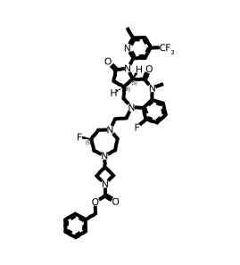 Cc1cc(C(F)(F)F)cc(N2C(=O)C[C@@H]3CN(CCN4CCN(C5CN(C(=O)OCc6ccccc6)C5)C[C@@H](F)C4)c4c(F)cccc4N(C)C(=O)[C@H]32)n1